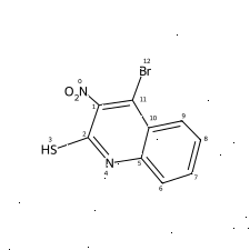 O=[N+]([O-])c1c(S)nc2ccccc2c1Br